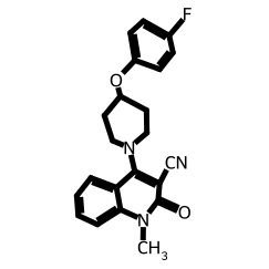 Cn1c(=O)c(C#N)c(N2CCC(Oc3ccc(F)cc3)CC2)c2ccccc21